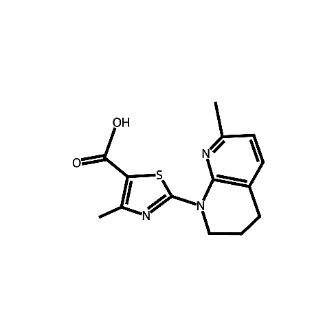 Cc1ccc2c(n1)N(c1nc(C)c(C(=O)O)s1)CCC2